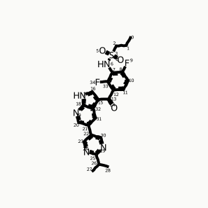 CCCS(=O)(=O)Nc1c(F)ccc(C(=O)c2c[nH]c3ncc(-c4cnc(C(C)C)nc4)cc23)c1F